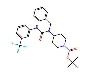 CC(C)(C)OC(=O)N1CCC(N(Cc2ccccc2)C(=O)Nc2cccc(C(F)(F)F)c2)CC1